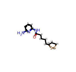 Nc1cccc(NC(=O)CCCCC2CCSS2)n1